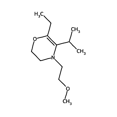 CCC1=C(C(C)C)N(CCOC)CCO1